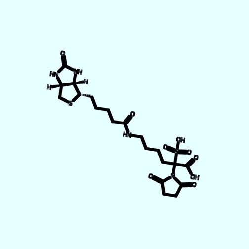 O=C(CCCC[C@@H]1SC[C@@H]2NC(=O)N[C@@H]21)NCCCCC(C(=O)O)(N1C(=O)CCC1=O)S(=O)(=O)O